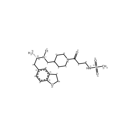 CCN(CC1CCN(C(=O)CCNS(C)(=O)=O)CC1)[C@@H](C)Cc1ccc2c(c1)CCO2